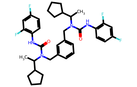 CC(C1CCCC1)N(Cc1cccc(CN(C(=O)Nc2ccc(F)cc2F)C(C)C2CCCC2)c1)C(=O)Nc1ccc(F)cc1F